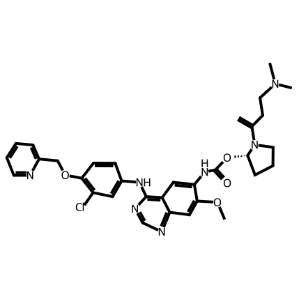 C=C(CCN(C)C)N1CCC[C@@H]1OC(=O)Nc1cc2c(Nc3ccc(OCc4ccccn4)c(Cl)c3)ncnc2cc1OC